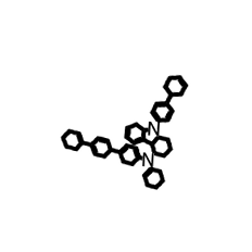 C1=CCC2C(=C1)C1C(N(C3=CCCCC3)C3=CC=C(C4C=CC(C5=CCCCC5)=CC4)CC3)CCCC1N2c1ccc(C2CC=CCC2)cc1